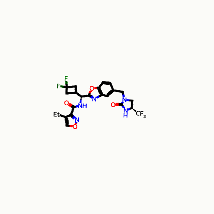 CCc1conc1C(=O)N[C@H](c1nc2cc(CN3C[C@@H](C(F)(F)F)NC3=O)ccc2o1)C1CC(F)(F)C1